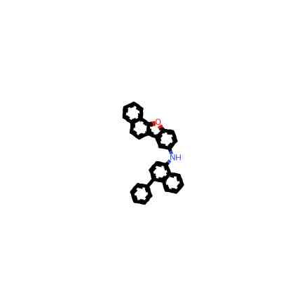 c1ccc(-c2ccc(Nc3ccc4oc5c6ccccc6ccc5c4c3)c3ccccc23)cc1